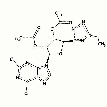 CCn1nnc([C@H]2O[C@@H](n3cnc4c(Cl)nc(Cl)nc43)[C@H](OC(C)=O)[C@@H]2OC(C)=O)n1